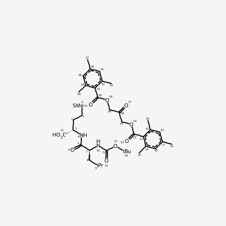 CSCC[C@H](NC(=O)[C@H](CC(C)C)NC(=O)OC(C)(C)C)C(=O)O.Cc1cc(C)c(C(=O)OCC(=O)COC(=O)c2c(C)cc(C)cc2C)c(C)c1